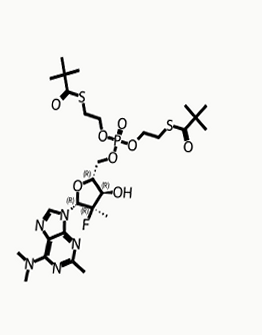 Cc1nc(N(C)C)c2ncn([C@@H]3O[C@H](COP(=O)(OCCSC(=O)C(C)(C)C)OCCSC(=O)C(C)(C)C)[C@@H](O)[C@@]3(C)F)c2n1